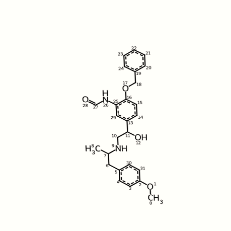 COc1ccc(CC(C)NCC(O)c2ccc(OCc3ccccc3)c(NC=O)c2)cc1